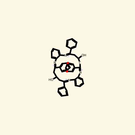 OC1C/C(c2ccccc2)=N/c2ccccc2/N=C(\c2ccccc2)CC(O)C/C(c2ccccc2)=N/c2ccccc2/N=C(\c2ccccc2)C1